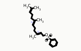 CC(C)=CCC/C(C)=C/CC/C(C)=C/COS(=O)(=O)c1ccccc1